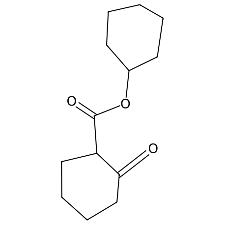 O=C1CCCCC1C(=O)OC1CCCCC1